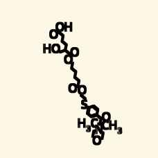 CC(C)(C(=O)c1ccc(SCCOC(=O)CCCCCOC(=O)C(CO)CCCC(=O)O)cc1)N1CCOCC1